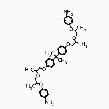 CC(COc1ccc(C(C)(C)c2ccc(OCC(C)OCC(C)Oc3ccc(N)cc3)cc2)cc1)OCC(C)Oc1ccc(N)cc1